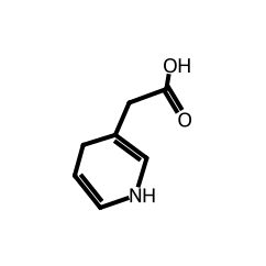 O=C(O)CC1=CNC=CC1